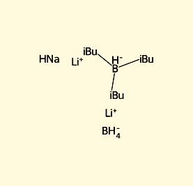 CCC(C)[BH-](C(C)CC)C(C)CC.[BH4-].[Li+].[Li+].[NaH]